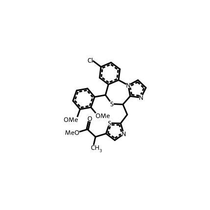 COC(=O)C(C)c1cnc(CC2SC(c3cccc(OC)c3OC)c3cc(Cl)ccc3-n3ccnc32)s1